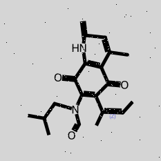 C=C1C=C(C)C2=C(N1)C(=O)C(N(C=O)CC(C)C)=C(/C(C)=C\C)C2=O